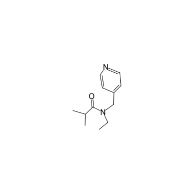 CCN(Cc1ccncc1)C(=O)C(C)C